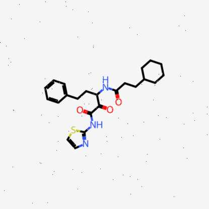 O=C(CCC1CCCCC1)NC(CCc1ccccc1)C(=O)C(=O)Nc1nccs1